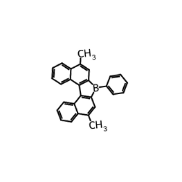 Cc1cc2c(c3ccccc13)-c1c(cc(C)c3ccccc13)B2c1ccccc1